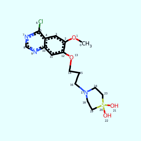 COc1cc2c(Cl)ncnc2cc1OCCCN1CCS(O)(O)CC1